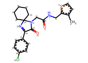 Cc1ccsc1CNC(=O)CN1C(=O)C(c2ccc(Cl)cc2)=NC12CCCCC2